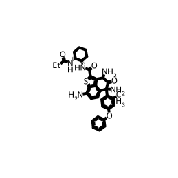 CCC(=O)N[C@@H]1CCCC[C@H]1NC(=O)c1sc2c(N)ccc3c2c1C(N)C(=O)C3(N)c1ccc(Oc2ccccc2)cc1C